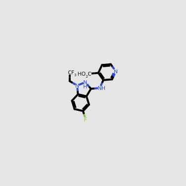 O=C(O)c1ccncc1NC1NN(CC(F)(F)F)c2ccc(F)cc21